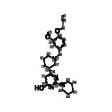 C#CCOc1ccc(CN2CCCC(c3cc(O)nc(N4CCCCC4)n3)C2)cc1OC